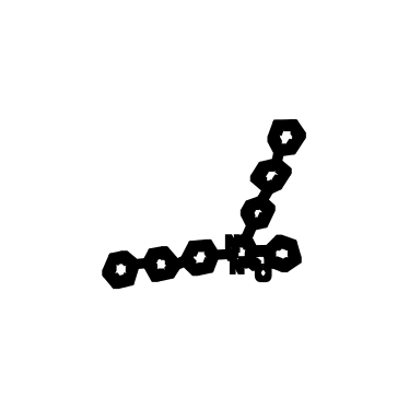 c1ccc(-c2ccc(-c3ccc(-c4nc(-c5ccc(-c6ccc(-c7ccccc7)cc6)cc5)c5c(n4)oc4ccccc45)cc3)cc2)cc1